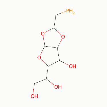 OCC(O)C1OC2OC(CP)OC2C1O